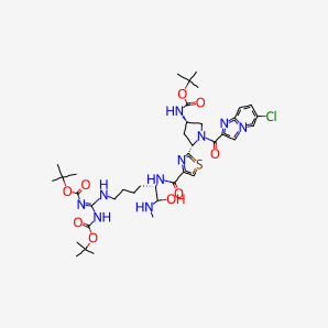 CNC(O)[C@H](CCCCN/C(=N\C(=O)OC(C)(C)C)NC(=O)OC(C)(C)C)NC(=O)c1csc([C@@H]2C[C@@H](NC(=O)OC(C)(C)C)CN2C(=O)c2cn3cc(Cl)ccc3n2)n1